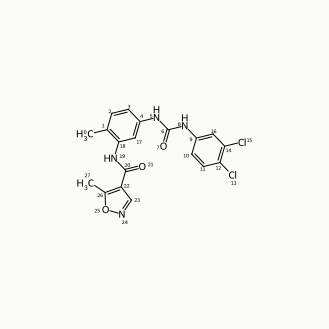 Cc1ccc(NC(=O)Nc2ccc(Cl)c(Cl)c2)cc1NC(=O)c1cnoc1C